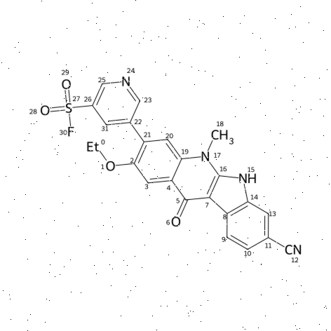 CCOc1cc2c(=O)c3c4ccc(C#N)cc4[nH]c3n(C)c2cc1-c1cncc(S(=O)(=O)F)c1